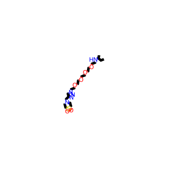 CCC(C)NCCOCCOCCOCCOCCn1cc(CN2CCS(=O)(=O)CC2)nn1